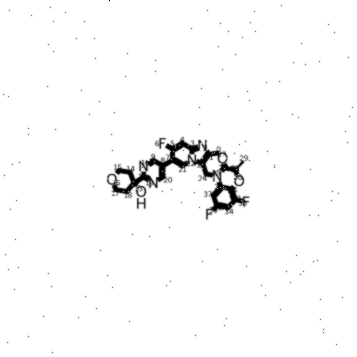 Cc1nc2cc(F)c(-c3cnc(C4(O)CCOCC4)nc3)cn2c1CN1C(=O)[C@@H](C)Oc2c(F)cc(F)cc21